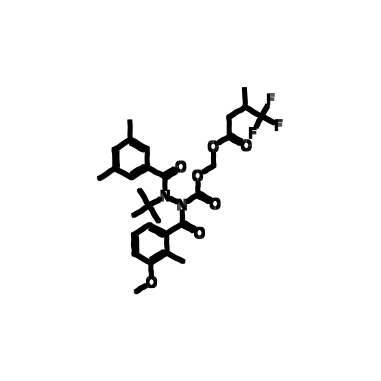 COc1cccc(C(=O)N(C(=O)OCOC(=O)CC(C)C(F)(F)F)N(C(=O)c2cc(C)cc(C)c2)C(C)(C)C)c1C